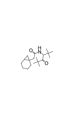 CC(C)(C)C(=O)C(NC(=O)CC12CCCCC1C2)C(C)(C)C